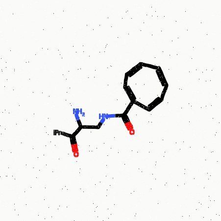 CC(C)C(=O)C(N)CNC(=O)C1=C/C=C\C=C/C=C\1